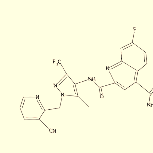 Cc1c(NC(=O)c2cc(C(N)=O)c3ccc(F)cc3n2)c(C(F)(F)F)nn1Cc1ncccc1C#N